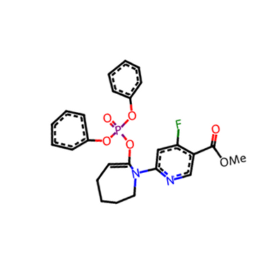 COC(=O)c1cnc(N2CCCCC=C2OP(=O)(Oc2ccccc2)Oc2ccccc2)cc1F